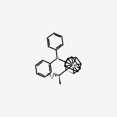 C[C@@H](N)[C@@]12[CH]3[CH]4[CH]5[C]1(P(c1ccccc1)c1ccccc1)[Fe]45321678[CH]2[CH]1[CH]6[CH]7[CH]28